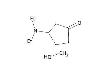 CCN(CC)C1CCC(=O)C1.CO